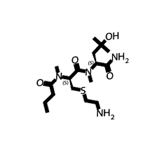 CCCC(=O)N(C)[C@H](CSCCN)C(=O)N(C)[C@@H](CC(C)(C)O)C(N)=O